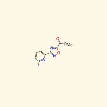 COC(=O)c1nc(-c2cccc(I)n2)no1